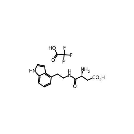 N[C@@H](CC(=O)O)C(=O)NCCc1cccc2[nH]ccc12.O=C(O)C(F)(F)F